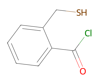 O=C(Cl)c1ccccc1CS